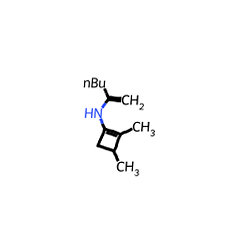 C=C(CCCC)NC1=C(C)C(C)C1